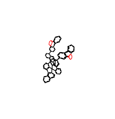 c1ccc2c(c1)-c1ccccc1C21c2ccc3ccccc3c2-c2cccc(-c3c4cccc(-c5ccc6c(c5)oc5ccccc56)c4cc4c(-c5ccc6c(c5)oc5ccccc56)cccc34)c21